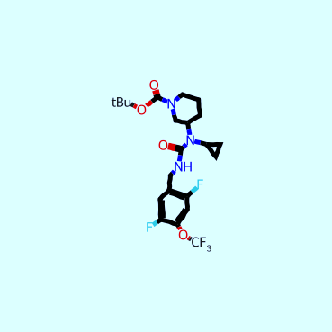 CC(C)(C)OC(=O)N1CCCC(N(C(=O)NCc2cc(F)c(OC(F)(F)F)cc2F)C2CC2)C1